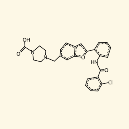 O=C(Nc1ccccc1-c1cc2ccc(CN3CCN(C(=O)O)CC3)cc2o1)c1ccccc1Cl